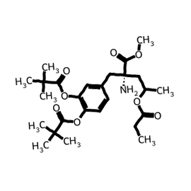 CCC(=O)OC(C)C[C@@](N)(Cc1ccc(OC(=O)C(C)(C)C)c(OC(=O)C(C)(C)C)c1)C(=O)OC